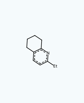 CCc1ccc2c(n1)CCCC2